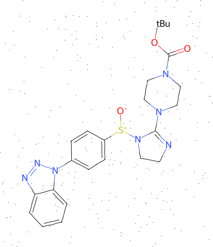 CC(C)(C)OC(=O)N1CCN(C2=NCCN2[S+]([O-])c2ccc(-n3nnc4ccccc43)cc2)CC1